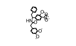 COc1ccc(CC(=O)NC(Cc2ccccc2)c2ccc([N+](=O)[O-])c(OC)c2)cc1OC